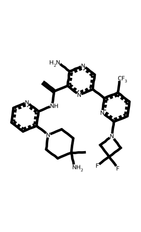 C=C(Nc1ncccc1N1CCC(C)(N)CC1)c1nc(-c2nc(N3CC(F)(F)C3)ccc2C(F)(F)F)cnc1N